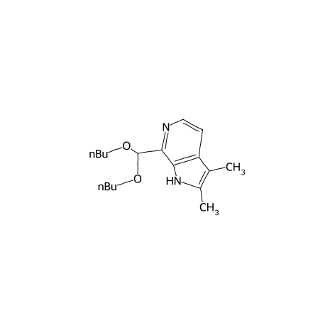 CCCCOC(OCCCC)c1nccc2c(C)c(C)[nH]c12